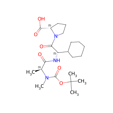 C[C@@H](C(=O)N[C@H](C(=O)N1CCC[C@H]1C(=O)O)C1CCCCC1)N(C)C(=O)OC(C)(C)C